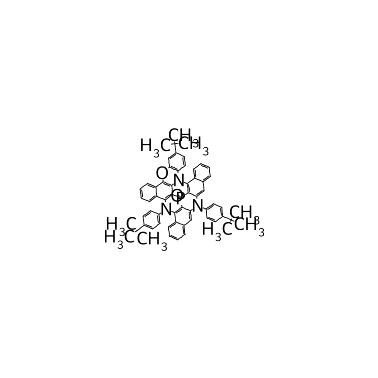 CC(C)(C)c1ccc(N2c3cc4ccccc4c4c3P3(=O)c5c2cc2ccccc2c5N(c2ccc(C(C)(C)C)cc2)c2c3c3c(c5ccccc25)Oc2cc(C(C)(C)C)ccc2N34)cc1